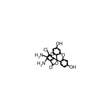 Nc1c(N)c2c(c(Cl)c1Cl)C1(OC2=O)c2ccc(O)cc2Oc2cc(O)ccc21